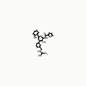 N#Cc1c(-c2cccc(CNC(=N)N)c2)cc(-c2ccccc2O)nc1NC(=O)c1cccs1